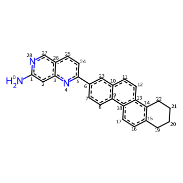 Nc1cc2nc(-c3ccc4c(ccc5c6c(ccc54)CCCC6)c3)ccc2cn1